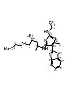 CC[C@@H](CNCCOC)CC(C)Nc1nc(NCC(F)(F)F)nc(C)c1-c1nc2ccccc2s1